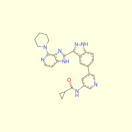 O=C(Nc1cncc(-c2ccc3[nH]nc(-c4nc5c(N6CCCCC6)nccc5[nH]4)c3c2)c1)C1CC1